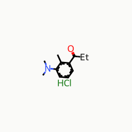 CCC(=O)c1cccc(N(C)C)c1C.Cl